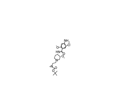 COc1cc(N)c(Cl)cc1C(=O)N[C@H]1CCN(CCN(C)C(=O)OC(C)(C)C)C[C@H]1OC